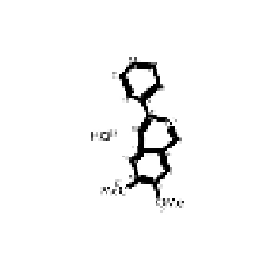 COc1cc2cnc(-c3ccccc3)cc2cc1OC.Cl